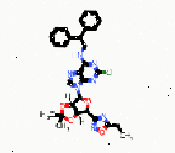 CCc1nc(C2OC(n3cnc4c(NCC(c5ccccc5)c5ccccc5)nc(Cl)nc43)[C@@H]3OC(C)(C)O[C@H]23)no1